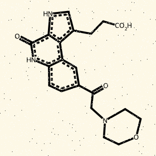 O=C(O)CCc1c[nH]c2c(=O)[nH]c3ccc(C(=O)CN4CCOCC4)cc3c12